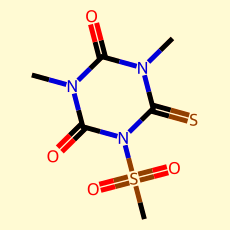 Cn1c(=O)n(C)c(=S)n(S(C)(=O)=O)c1=O